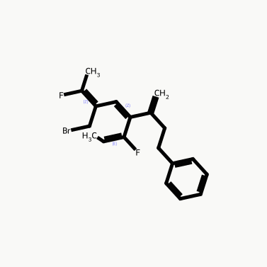 C=C(CCc1ccccc1)C(=C/C(CBr)=C(\C)F)/C(F)=C\C